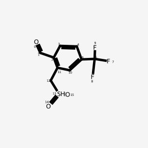 O=[C]c1ccc(C(F)(F)F)cc1C[SH](=O)=O